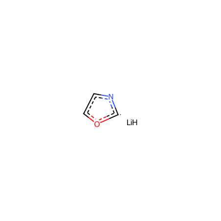 [LiH].[c]1ncco1